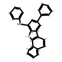 c1ccc(Nc2cc(-c3ccccc3)cc3c2oc2c4ccccc4ccc32)cc1